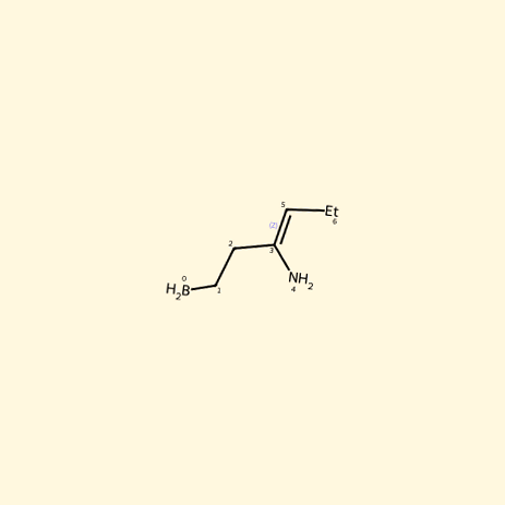 BCC/C(N)=C/CC